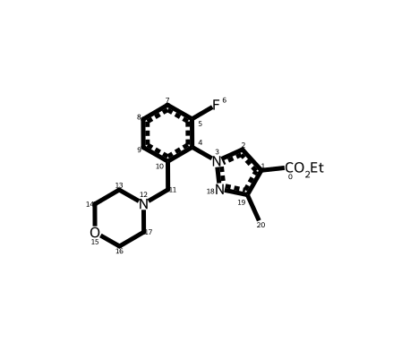 CCOC(=O)c1cn(-c2c(F)cccc2CN2CCOCC2)nc1C